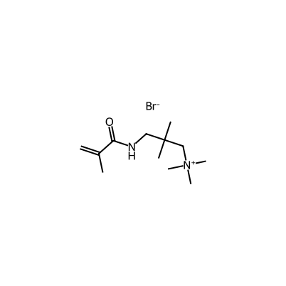 C=C(C)C(=O)NCC(C)(C)C[N+](C)(C)C.[Br-]